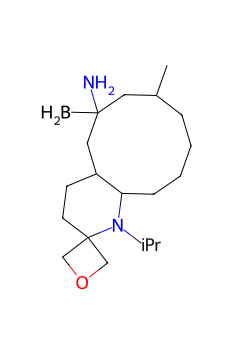 BC1(N)CC(C)CCCCC2C(CCC3(COC3)N2C(C)C)C1